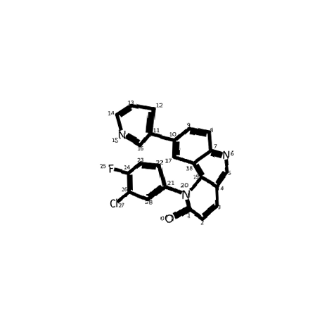 O=c1ccc2cnc3ccc(-c4cccnc4)cc3c2n1-c1ccc(F)c(Cl)c1